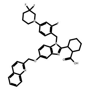 O=C(O)C1CCCCC1c1nc2cc(OCc3ccc4ccccc4n3)ccc2n1Cc1ccc(N2CCCC(F)(F)C2)cc1F